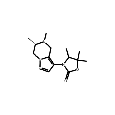 CC1N(c2cnn3c2CN(C)[C@@H](C)C3)C(=O)OC1(C)C